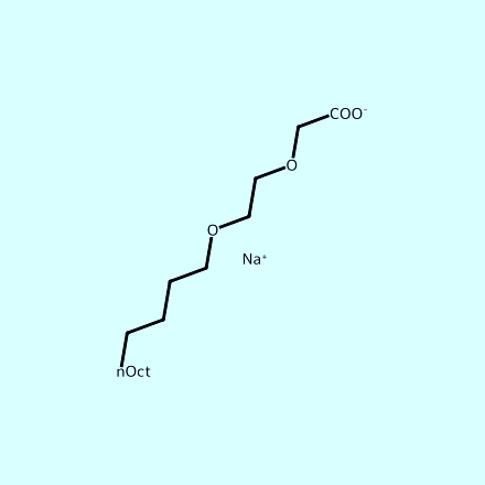 CCCCCCCCCCCCOCCOCC(=O)[O-].[Na+]